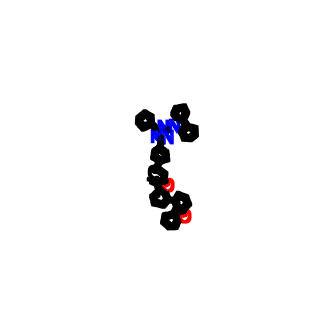 c1ccc(-c2nc(-c3ccc(-c4ccc5c(c4)oc4c(-c6cccc7oc8ccccc8c67)cccc45)cc3)nc(-n3c4ccccc4c4ccccc43)n2)cc1